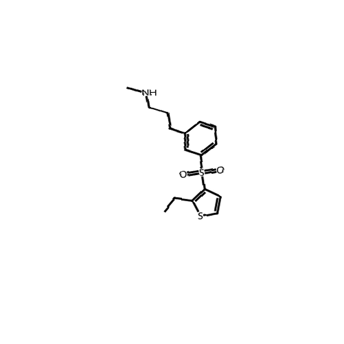 CCc1sccc1S(=O)(=O)c1cccc(CCCNC)c1